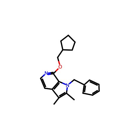 Cc1c(C)n(Cc2ccccc2)c2c(OCC3CCCC3)nccc12